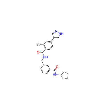 CCc1cc(-c2cn[nH]c2)ccc1C(=O)NCc1cccc(C(=O)NC2CCCC2)c1